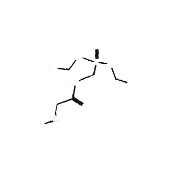 CCOP(=O)(CNC(=O)CNC)OCC